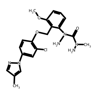 COc1cccc(N(N)C(=O)N(C)N)c1COc1ccc(-n2cc(C)cn2)cc1Cl